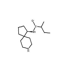 CCC(C)[S+]([O-])N[C@@H]1CCCC12CCNCC2